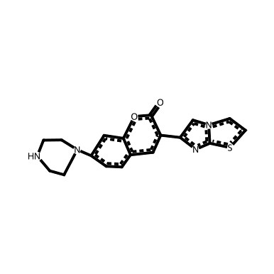 O=c1oc2cc(N3CCNCC3)ccc2cc1-c1cn2ccsc2n1